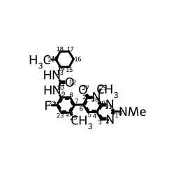 CNc1ncc2cc(-c3cc(NC(=O)N[C@H]4CCCC[C@@H]4C)c(F)cc3C)c(=O)n(C)c2n1